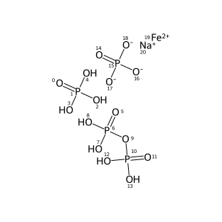 O=P(O)(O)O.O=P(O)(O)OP(=O)(O)O.O=P([O-])([O-])[O-].[Fe+2].[Na+]